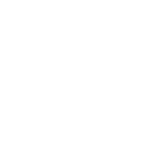 CCSc1ccc(CF)cc1